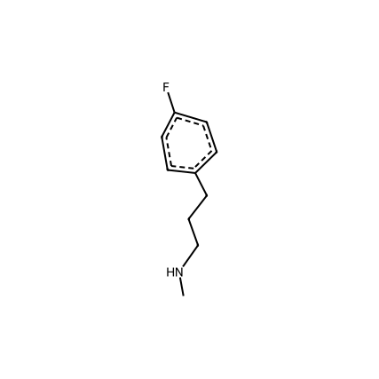 CNCCCc1ccc(F)cc1